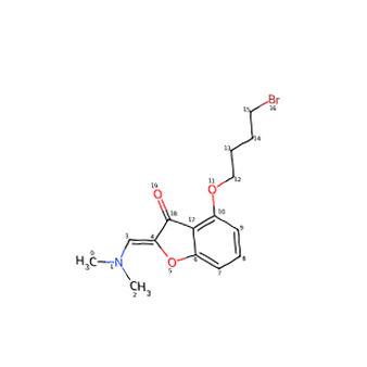 CN(C)/C=C1\Oc2cccc(OCCCCBr)c2C1=O